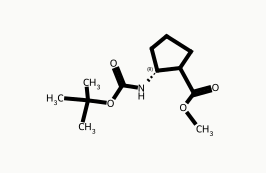 COC(=O)C1CCC[C@H]1NC(=O)OC(C)(C)C